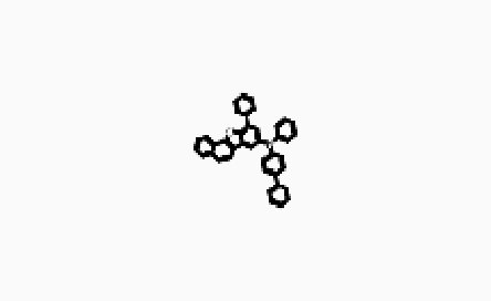 c1ccc(-c2ccc(N(c3ccccc3)c3cc(-c4ccccc4)c4oc5c6ccccc6ccc5c4c3)cc2)cc1